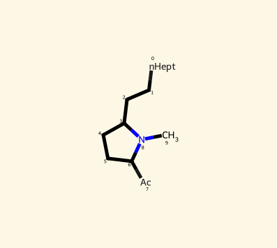 CCCCCCCCCC1CCC(C(C)=O)N1C